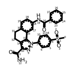 CS(=O)(=O)c1ccc(-n2nc(C(N)=O)c3c2-c2cc(NC(=O)c4ccccc4)ccc2CC3)cc1